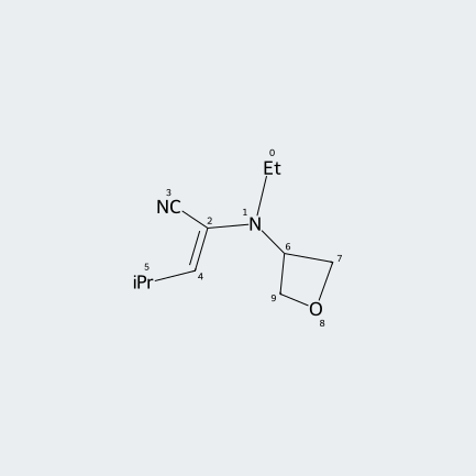 CCN(C(C#N)=CC(C)C)C1COC1